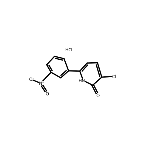 Cl.O=c1[nH]c(-c2cccc([N+](=O)[O-])c2)ccc1Cl